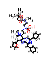 CN(CCN(CCC(c1c(Cc2ccco2)nc2c(Cc3ccccc3)nc(-c3ccccc3)cn12)N(C)C)C(=O)O)C(=O)OC(C)(C)C